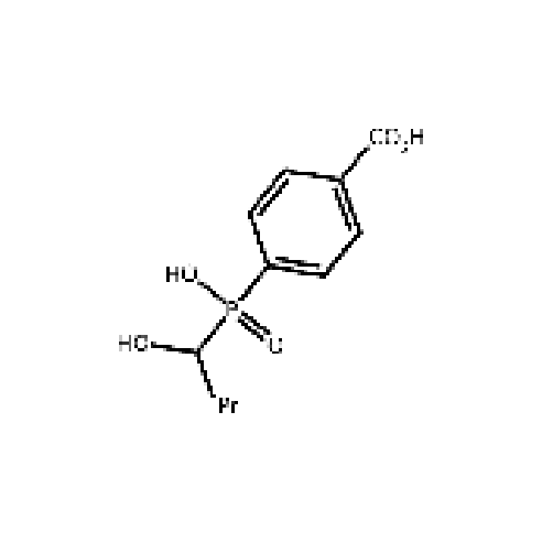 CC(C)C(O)P(=O)(O)c1ccc(C(=O)O)cc1